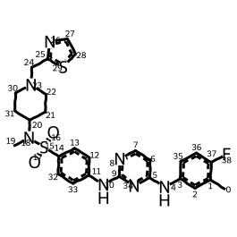 Cc1cc(Nc2ccnc(Nc3ccc(S(=O)(=O)N(C)C4CCN(Cc5nccs5)CC4)cc3)n2)ccc1F